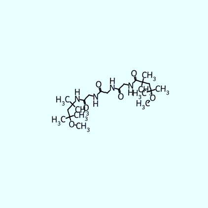 COC(C)(C)CC(C)(C)NC(=O)CNC(=O)CNC(=O)CNC(=O)C(C)(C)CC(C)(C)OC